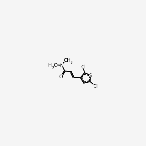 CN(C)C(=O)C=Cc1cc(Cl)sc1Cl